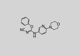 N#C/N=C(/Nc1ccc(N2CCOCC2)nc1)Oc1ccccc1